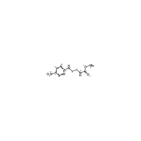 CC(C)(C)OC(=O)NCCNc1ncc([N+](=O)[O-])cn1